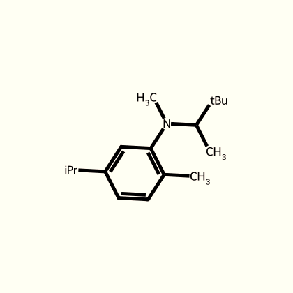 Cc1ccc(C(C)C)cc1N(C)C(C)C(C)(C)C